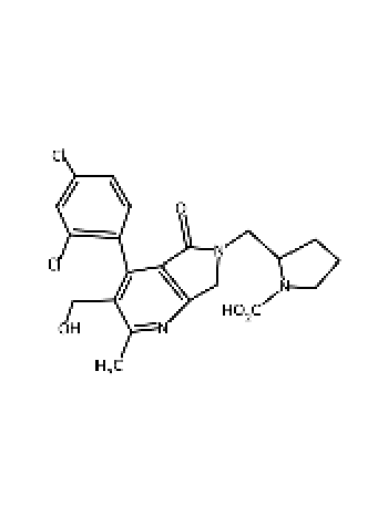 Cc1nc2c(c(-c3ccc(Cl)cc3Cl)c1CO)C(=O)N(CC1CCCN1C(=O)O)C2